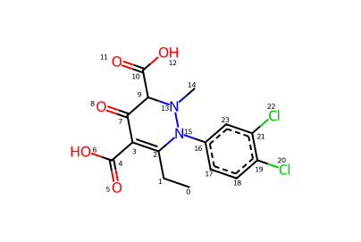 CCC1=C(C(=O)O)C(=O)C(C(=O)O)N(C)N1c1ccc(Cl)c(Cl)c1